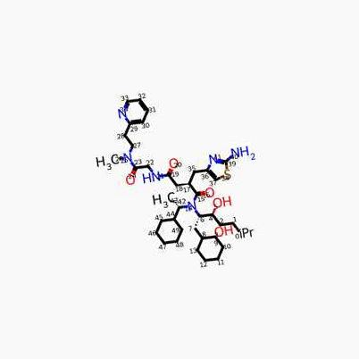 CC(C)C[C@H](O)[C@H](O)[C@H](CC1CCCCC1)N(C(=O)[C@@H](CC(=O)NCC(=O)N(C)CCc1ccccn1)Cc1csc(N)n1)[C@@H](C)C1CCCCC1